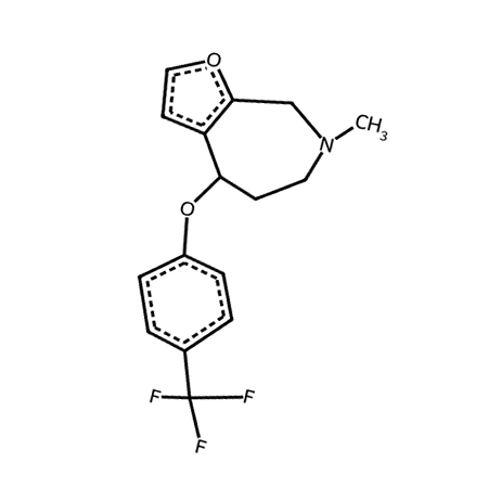 CN1CCC(Oc2ccc(C(F)(F)F)cc2)c2ccoc2C1